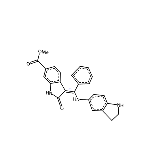 COC(=O)c1ccc2c(c1)NC(=O)/C2=C(\Nc1ccc2c(c1)CCN2)c1ccccc1